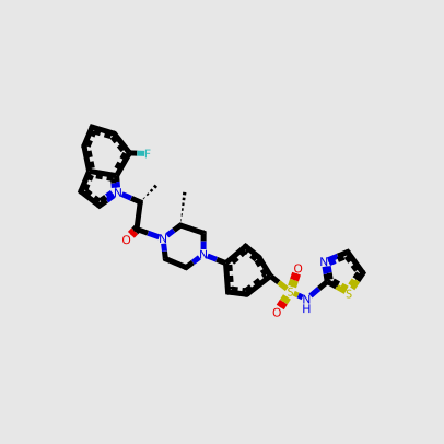 C[C@@H]1CN(c2ccc(S(=O)(=O)Nc3nccs3)cc2)CCN1C(=O)[C@@H](C)n1ccc2cccc(F)c21